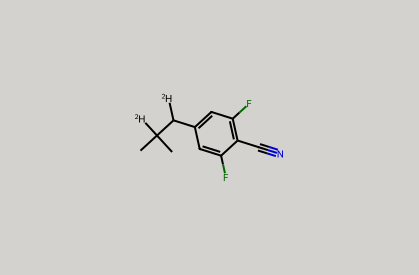 [2H]C(c1cc(F)c(C#N)c(F)c1)C([2H])(C)C